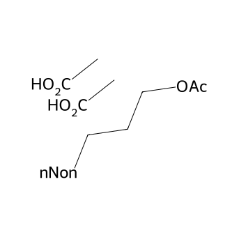 CC(=O)O.CC(=O)O.CCCCCCCCCCCCOC(C)=O